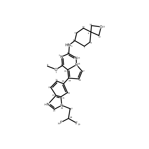 COc1nc(NC2CCC3(CC2)COC3)nn2ccc(-c3ccc4ncn(CC(F)F)c4c3)c12